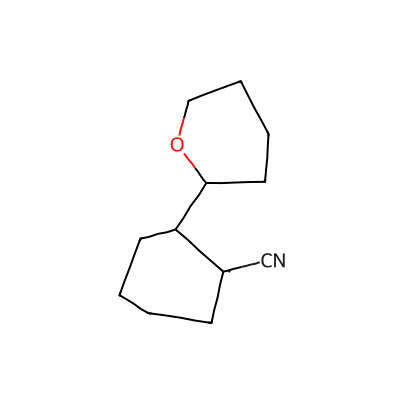 N#C[C]1CCCCC1C1CCCCO1